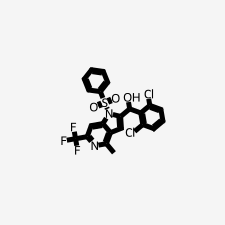 Cc1nc(C(F)(F)F)cc2c1cc(C(O)c1c(Cl)[c]ccc1Cl)n2S(=O)(=O)c1ccccc1